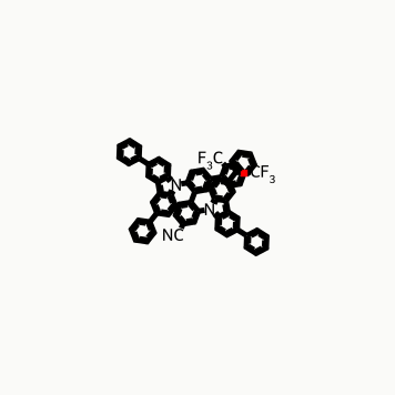 N#Cc1ccc(-c2cc(-c3ccc(C(F)(F)F)cc3C(F)(F)F)ccc2-n2c3ccc(-c4ccccc4)cc3c3cc(-c4ccccc4)ccc32)c(-n2c3ccc(-c4ccccc4)cc3c3cc(-c4ccccc4)ccc32)c1